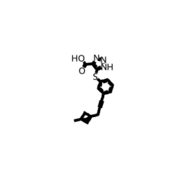 CC12CC(CC#Cc3cccc(Sc4[nH]nnc4C(=O)O)c3)(C1)C2